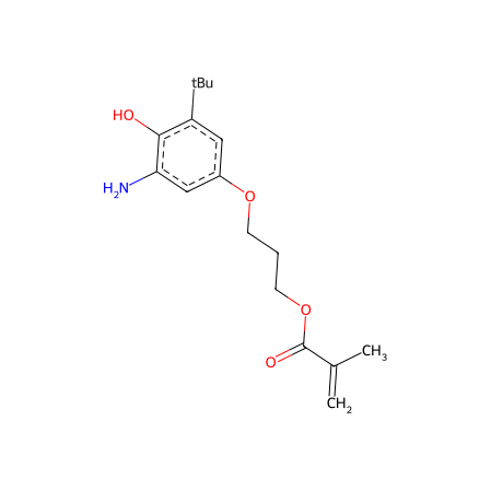 C=C(C)C(=O)OCCCOc1cc(N)c(O)c(C(C)(C)C)c1